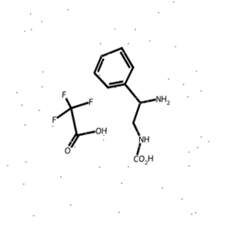 NC(CNC(=O)O)c1ccccc1.O=C(O)C(F)(F)F